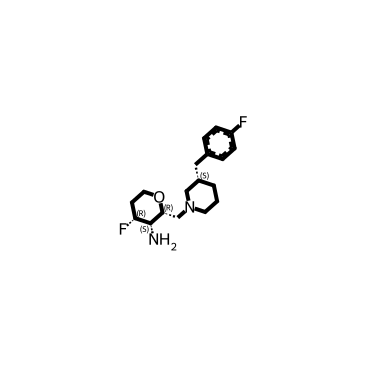 N[C@@H]1[C@H](F)CCO[C@@H]1CN1CCC[C@@H](Cc2ccc(F)cc2)C1